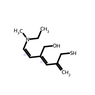 C=C(/C=C(/C=C\N(C)CC)CO)CS